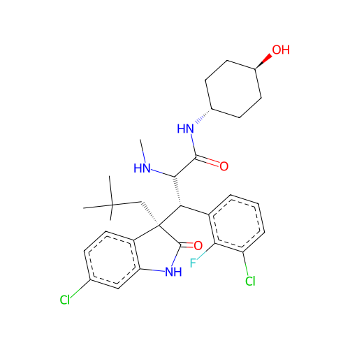 CNC(C(=O)N[C@H]1CC[C@H](O)CC1)[C@H](c1cccc(Cl)c1F)[C@@]1(CC(C)(C)C)C(=O)Nc2cc(Cl)ccc21